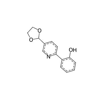 Oc1ccccc1-c1ccc(C2OCCO2)cn1